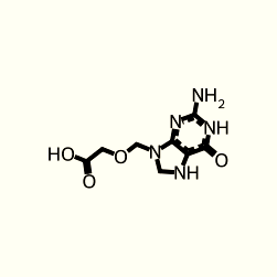 Nc1nc2c(c(=O)[nH]1)NCN2COCC(=O)O